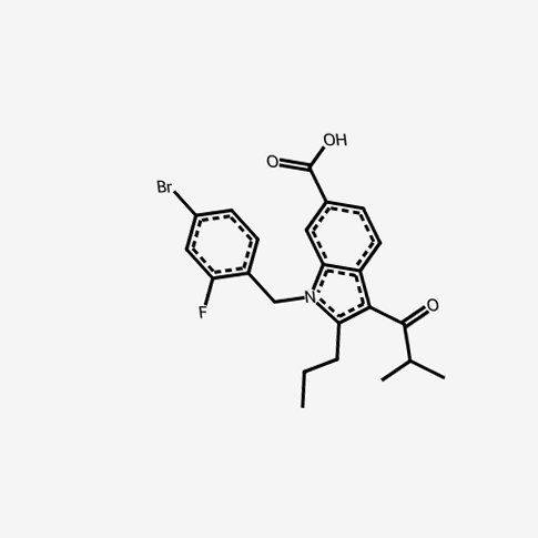 CCCc1c(C(=O)C(C)C)c2ccc(C(=O)O)cc2n1Cc1ccc(Br)cc1F